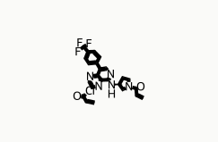 C=CC(=O)Cl.C=CC(=O)N1CC[C@H](Nc2ncc(-c3ccc(C(F)(F)F)cc3)c3nccnc23)C1